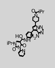 CC(C)C(=O)N1CCC(c2cc(-c3ccc(NC(O)c4cn(C(C)C)c(=O)n(-c5ccccn5)c4=O)cc3)c3c(N)ncnn23)CC1